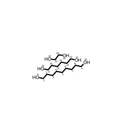 OCCCCCCCCCO.OCCCCCCO.OCCO